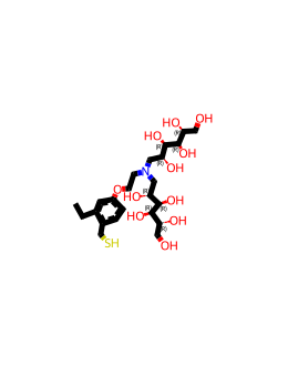 CCc1cc(OCCN(C[C@@H](O)[C@@H](O)[C@H](O)[C@H](O)CO)C[C@@H](O)[C@@H](O)[C@H](O)[C@H](O)CO)ccc1CS